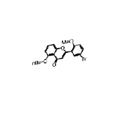 CCCCOc1cccc2oc(-c3cc(Br)ccc3OC)cc(=O)c12